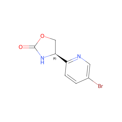 O=C1N[C@H](c2ccc(Br)cn2)CO1